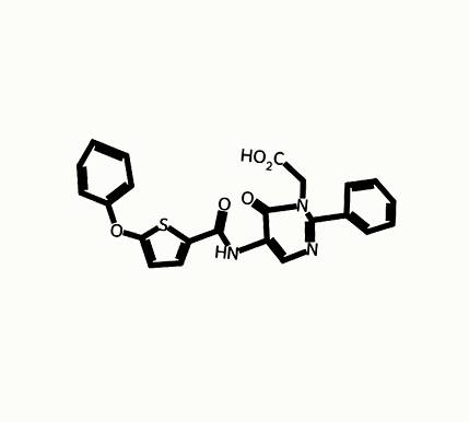 O=C(O)Cn1c(-c2ccccc2)ncc(NC(=O)c2ccc(Oc3ccccc3)s2)c1=O